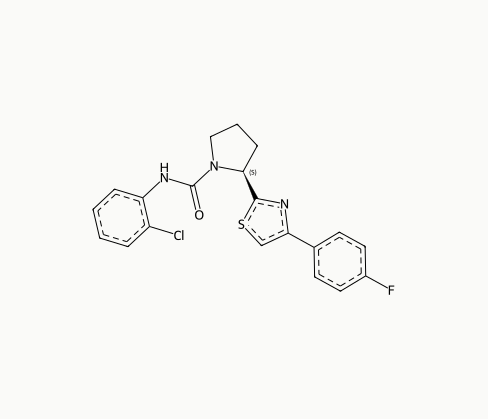 O=C(Nc1ccccc1Cl)N1CCC[C@H]1c1nc(-c2ccc(F)cc2)cs1